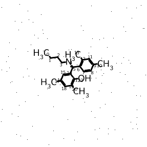 CCCCN=C(c1ccc(C)cc1C)c1cc(C)cc(C)c1O